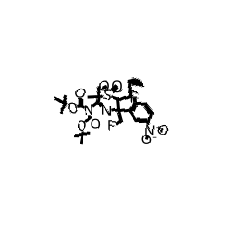 C=CCC1C(CF)(c2cc([N+](=O)[O-])ccc2F)N=C(N(C(=O)OC(C)(C)C)C(=O)OC(C)(C)C)C(C)(C)S1(=O)=O